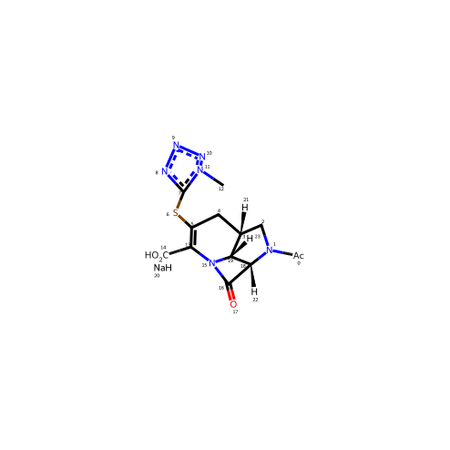 CC(=O)N1C[C@H]2CC(Sc3nnnn3C)=C(C(=O)O)N3C(=O)[C@@H]1[C@@H]23.[NaH]